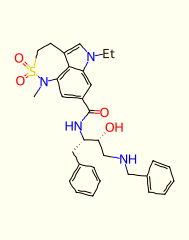 CCn1cc2c3c(cc(C(=O)N[C@@H](Cc4ccccc4)[C@H](O)CNCc4ccccc4)cc31)N(C)S(=O)(=O)CC2